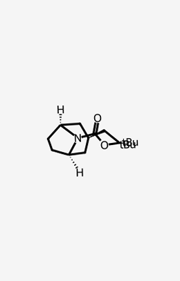 CC(C)(C)C[C@H]1C[C@H]2CC[C@@H](C1)N2C(=O)OC(C)(C)C